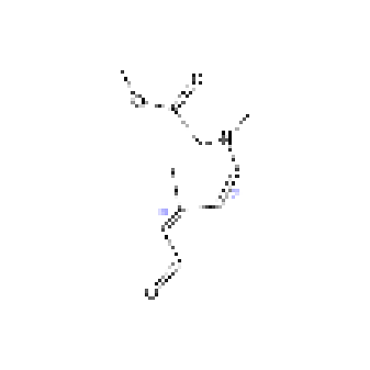 COC(=O)CN(C)/C=C\C(C)=C/C=O